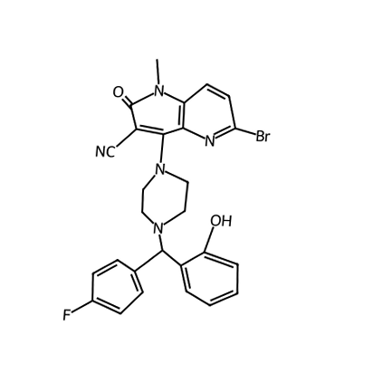 Cn1c(=O)c(C#N)c(N2CCN(C(c3ccc(F)cc3)c3ccccc3O)CC2)c2nc(Br)ccc21